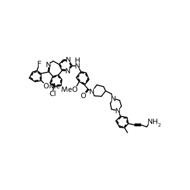 COc1cc(Nc2ncc3c(n2)-c2ccc(Cl)cc2C(c2c(F)cccc2OC)=NC3)ccc1C(=O)N1CCC(CN2CCN(c3ccc(C)c(C#CCN)c3)CC2)CC1